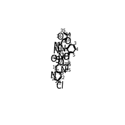 COc1cccc(OC)c1-n1c(N[S+]([O-])CCc2ncc(Cl)cc2N2CCC2=O)nnc1-c1ccco1